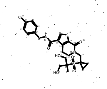 CC(CO)(CO)S(=O)(=O)C1(CN2CCc3c(C(=O)NCc4ccc(Cl)cc4)csc3C2=O)CC1